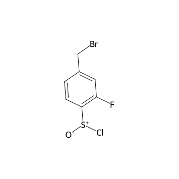 [O-][S+](Cl)c1ccc(CBr)cc1F